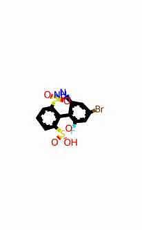 N#Cc1cc(Br)cc(F)c1-c1c(S(N)(=O)=O)cccc1S(=O)(=O)O